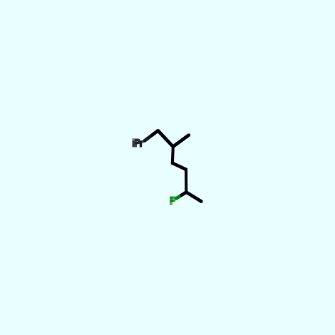 CC(C)CC(C)CCC(C)F